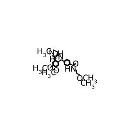 CCOc1cc2c(cc1OC)C(c1ccc(C(=O)NCCCOC(C)C)cc1)=N[C@@H]1CCN(C)C[C@H]21